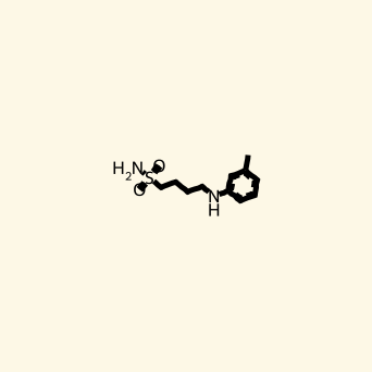 Cc1cccc(NCCCCS(N)(=O)=O)c1